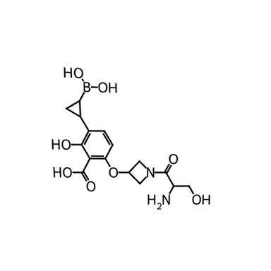 NC(CO)C(=O)N1CC(Oc2ccc(C3CC3B(O)O)c(O)c2C(=O)O)C1